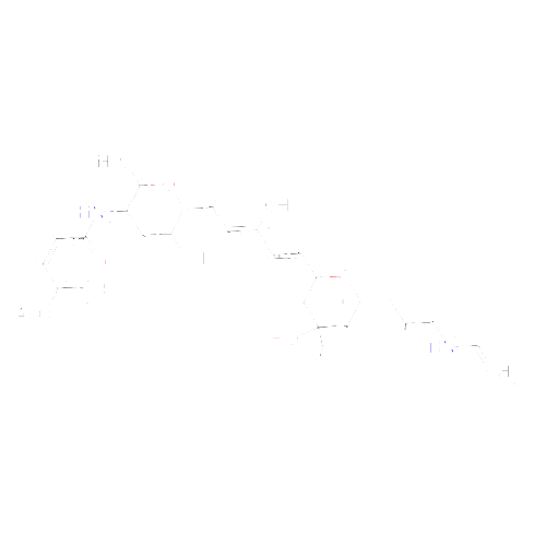 C=CNCCC[C@@H]1CC(C)(O)CC(/C=C/C(C)=C/CC2OC(C)C(NC(=O)/C=C\C(C)OC(C)=O)CC2C)O1